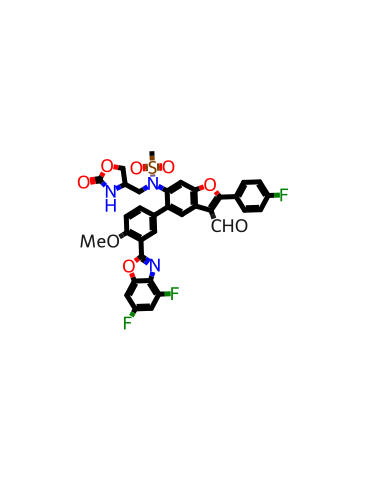 COc1ccc(-c2cc3c(C=O)c(-c4ccc(F)cc4)oc3cc2N(CC2COC(=O)N2)S(C)(=O)=O)cc1-c1nc2c(F)cc(F)cc2o1